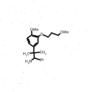 COCCCOc1cc(C(C)(C)C(N)C(C)C)ccc1OC